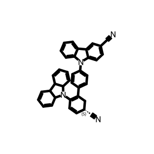 N#Cc1ccc2c(c1)c1ccccc1n2-c1ccc(C2=C(N3C4C=CC=CC4C4C=CC=CC43)C=C[C@@H](C#N)C2)cc1